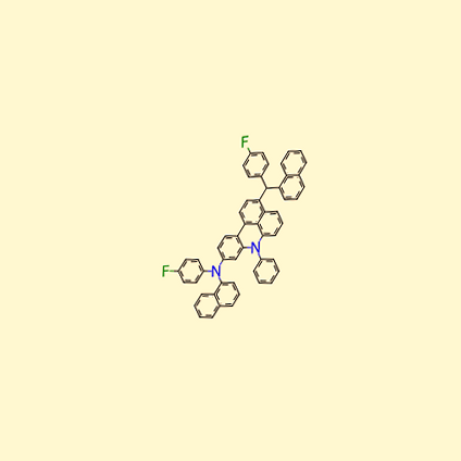 Fc1ccc(C(c2cccc3ccccc23)c2ccc3c4c(cccc24)N(c2ccccc2)c2cc(N(c4ccc(F)cc4)c4cccc5ccccc45)ccc2-3)cc1